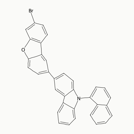 Brc1ccc2c(c1)oc1ccc(-c3ccc4c(c3)c3ccccc3n4-c3cccc4ccccc34)cc12